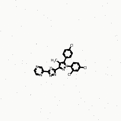 Cc1c(-c2nnc(-c3cnccn3)o2)nn(-c2ccc(Cl)cc2Cl)c1-c1ccc(Cl)cc1